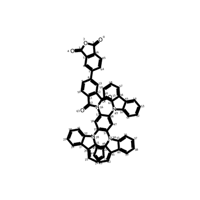 O=C1OC(=O)c2cc(-c3ccc4c(c3)C(=O)N(c3cc(-n5c6ccccc6c6ccccc65)c(-n5c6ccccc6c6ccccc65)cc3-n3c5ccccc5c5ccccc53)C4=O)ccc21